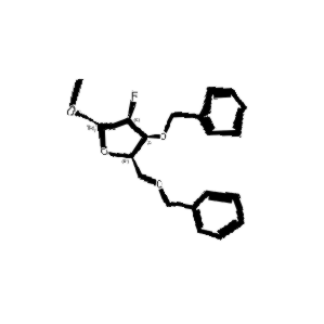 CO[C@@H]1O[C@H](COCc2ccccc2)[C@H](OCc2ccccc2)[C@@H]1F